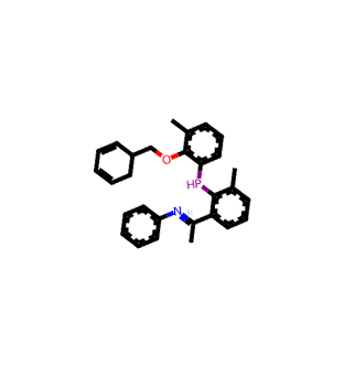 C/C(=N\c1ccccc1)c1cccc(C)c1Pc1cccc(C)c1OCC1C=CC=CC1